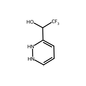 OC(C1=CC=[C]NN1)C(F)(F)F